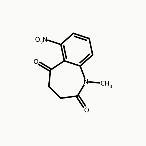 CN1C(=O)CCC(=O)c2c1cccc2[N+](=O)[O-]